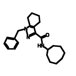 O=C(NC1CCCCCCC1)c1nn(Cc2ccccc2)c2c1CCCC2